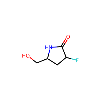 O=C1NC(CO)CC1F